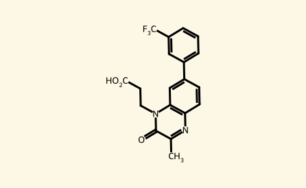 Cc1nc2ccc(-c3cccc(C(F)(F)F)c3)cc2n(CCC(=O)O)c1=O